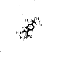 CC(C)(C)C1CCc2c(sc(N)c2C(N)=O)C1